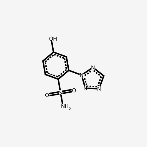 NS(=O)(=O)c1ccc(O)cc1-n1ncnn1